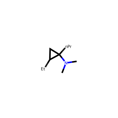 CCCC1(N(C)C)CC1CC